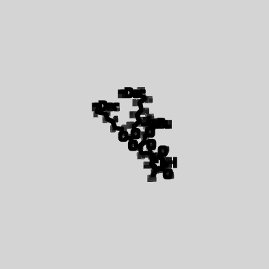 CCCCCCCCCCCCCCCCOC(OCCCCCCCCCCCCCCCC)O[C@H]1C[C@H](n2cc(C)c(=O)[nH]c2=O)O[C@@H]1CO[Si](C)(C)C(C)(C)C